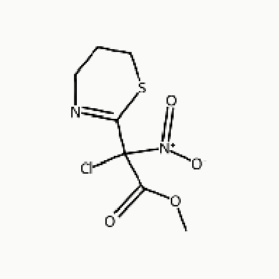 COC(=O)C(Cl)(C1=NCCCS1)[N+](=O)[O-]